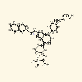 O=C(O)C(F)(F)F.O=C(O)CNc1ccc(-c2cnc(N3CCOCC3)c3nc(/C=C/c4ccc5ccccc5n4)cn23)cc1